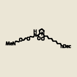 CCCCCCCCCCCCCCCCCC(=O)N1CCCC1C(=O)NCCOCCOCCNC